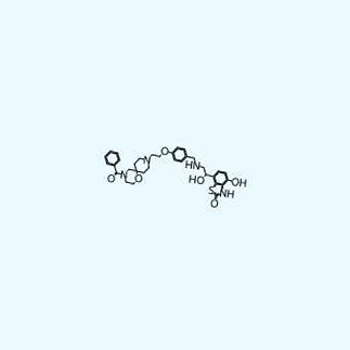 O=C(c1ccccc1)N1CCOC2(CCN(CCOc3ccc(CNC[C@H](O)c4ccc(O)c5[nH]c(=O)sc45)cc3)CC2)C1